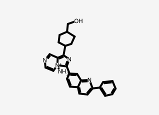 N[N+]12C=CN=CC1=C(C1CCC(CO)CC1)N=C2c1ccc2ccc(-c3ccccc3)nc2c1